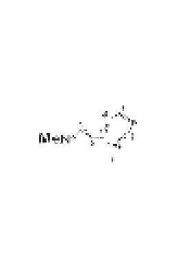 CNC=Cc1ccccc1C